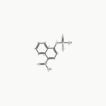 O=[N+](O)c1ccc(OP(=O)([O-])O)c2ccccc12